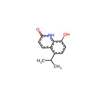 CC(C)c1ccc(O)c2[nH]c(=O)ccc12